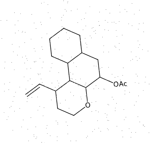 C=CC1CCOC2C(OC(C)=O)CC3CCCCC3C12